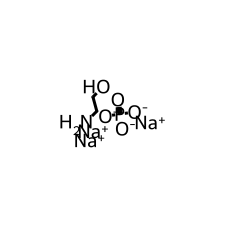 NCCO.O=P([O-])([O-])[O-].[Na+].[Na+].[Na+]